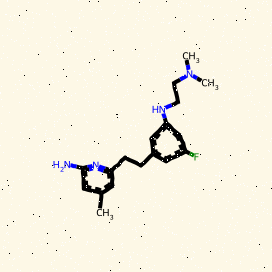 Cc1cc(N)nc(CCc2cc(F)cc(NCCN(C)C)c2)c1